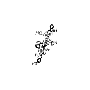 CC(C)[C@H](NC(=O)[C@@H](N)Cc1ccc(O)cc1)C(=O)N1CCC[C@H]1C(=O)NCC(=O)N[C@@H](Cc1c[nH]cn1)C(=O)NCC(=O)N[C@@H](Cc1c[nH]c2ccccc12)C(=O)O